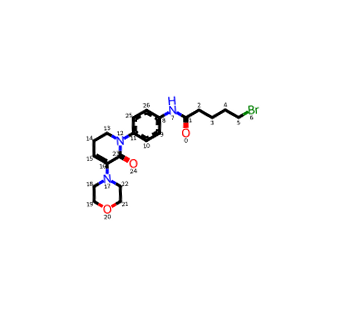 O=C(CCCCBr)Nc1ccc(N2CCC=C(N3CCOCC3)C2=O)cc1